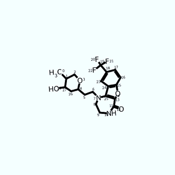 CC1COC(CCN2CCNC(=O)c3oc4ccc(C(F)(F)F)cc4c32)CC1O